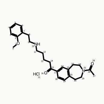 COc1ccccc1CCNCCCCC(=O)c1ccc2c(c1)CCN(C(C)=O)CC2.Cl